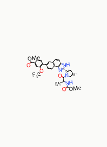 COC(=O)NC(C(=O)N1C[C@@H](C)C[C@H]1c1nc2c(ccc3cc(-c4ccc(C(=O)OC)cc4OC(F)(F)F)ccc32)[nH]1)C(C)C